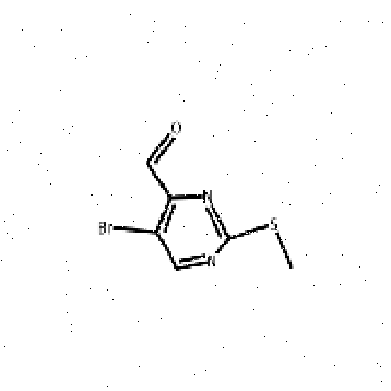 CSc1ncc(Br)c(C=O)n1